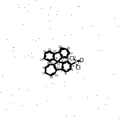 O=P(Cl)(Cl)c1ccc2c(c1)C1(C3=C2C=CCC=C3)c2ccccc2-c2ccccc21